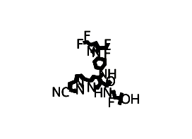 CC(C)(O)[C@H](F)CNC(=O)c1cnc(-c2ccc3cc(C#N)cnn23)cc1N[C@H]1CC[C@H](n2nc(C(F)F)cc2C(F)F)CC1